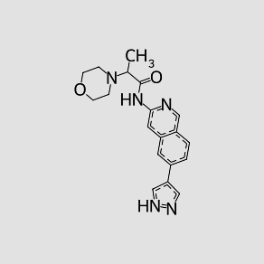 CC(C(=O)Nc1cc2cc(-c3cn[nH]c3)ccc2cn1)N1CCOCC1